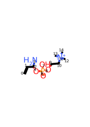 C=CC(N)OP(=O)(O)OCC[N+](C)(C)C